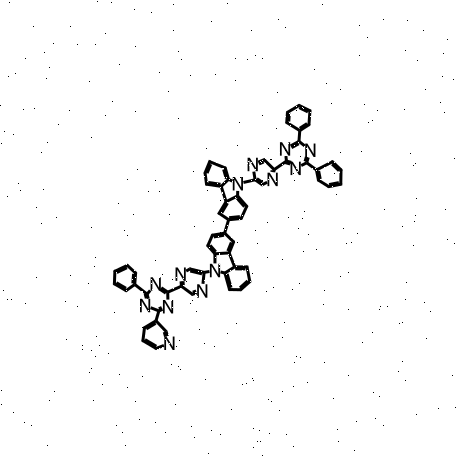 c1ccc(-c2nc(-c3ccccc3)nc(-c3cnc(-n4c5ccccc5c5cc(-c6ccc7c(c6)c6ccccc6n7-c6cnc(-c7nc(-c8ccccc8)nc(-c8cccnc8)n7)cn6)ccc54)cn3)n2)cc1